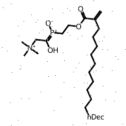 C=C(CCCCCCCCCCCCCCCCCCCC)C(=O)OCC[P+]([O-])=C(O)C[N+](C)(C)C